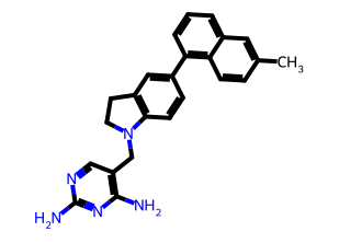 Cc1ccc2c(-c3ccc4c(c3)CCN4Cc3cnc(N)nc3N)cccc2c1